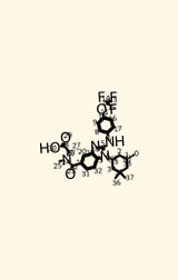 C[C@@H]1C[C@H](n2c(Nc3ccc(OC(F)(F)F)cc3)nc3cc(C(=O)N(C)[C@@H](C)C(=O)O)ccc32)CC(C)(C)C1